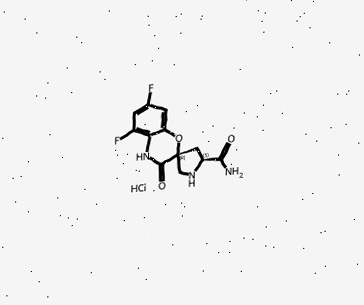 Cl.NC(=O)[C@@H]1C[C@]2(CN1)Oc1cc(F)cc(F)c1NC2=O